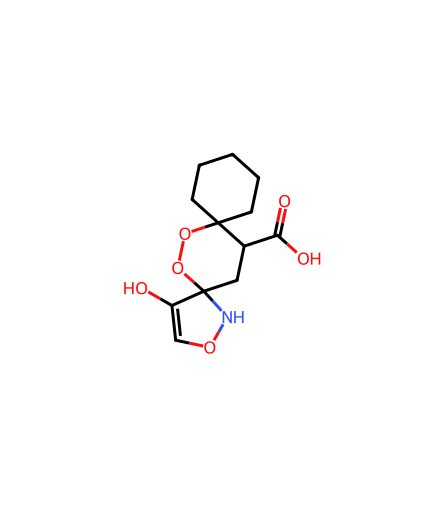 O=C(O)C1CC2(NOC=C2O)OOC12CCCCC2